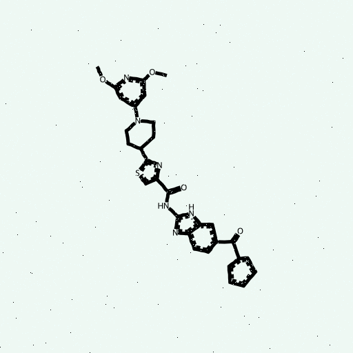 COc1cc(N2CCC(c3nc(C(=O)Nc4nc5ccc(C(=O)c6ccccc6)cc5[nH]4)cs3)CC2)cc(OC)n1